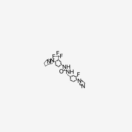 CN1CC2CCC(C1)N2Cc1ccc(NC(=O)NCc2ccc(-n3ccnc3)c(F)c2)cc1C(F)(F)F